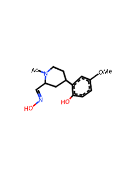 COc1ccc(O)c(C2CCN(C(C)=O)C(C=NO)C2)c1